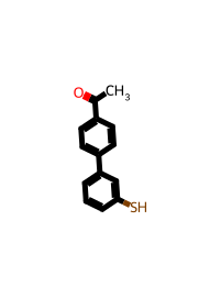 CC(=O)c1ccc(-c2cccc(S)c2)cc1